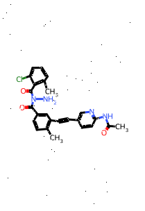 CC(=O)Nc1ccc(C#Cc2cc(C(=O)N(N)C(=O)c3c(C)cccc3Cl)ccc2C)cn1